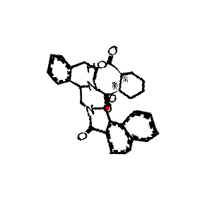 O=C(O)[C@H]1CCCC[C@H]1C(=O)N1CCc2ccccc2C1CN1C(=O)c2ccc3ccccc3c2C1=O